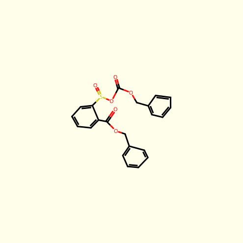 O=C(OCc1ccccc1)OS(=O)c1ccccc1C(=O)OCc1ccccc1